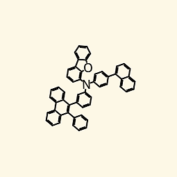 c1ccc(-c2c(-c3cccc(N(c4ccc(-c5cccc6ccccc56)cc4)c4cccc5c4oc4ccccc45)c3)c3ccccc3c3ccccc23)cc1